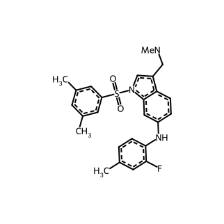 CNCc1cn(S(=O)(=O)c2cc(C)cc(C)c2)c2cc(Nc3ccc(C)cc3F)ccc12